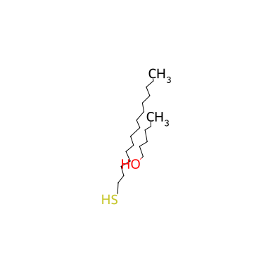 CCCCCCCCCCCCCCCCS.CCCCCCO